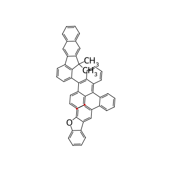 CC1(C)c2cc3ccccc3cc2-c2cccc(-c3c4ccccc4c(-c4ccccc4-c4ccc5oc6ccccc6c5c4)c4ccccc34)c21